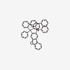 c1ccc(-c2ccccc2N(c2ccccc2)c2cc3c(cc2C2(c4ccccc4)c4ccccc4-c4ccccc42)oc2ccccc23)cc1